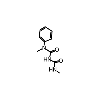 CNC(=O)NC(=O)N(C)c1ccccc1